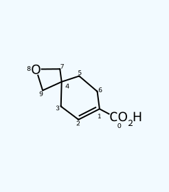 O=C(O)C1=CCC2(CC1)COC2